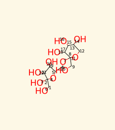 OCC1(O)OC(COC2(CO)OCC(O)C(O)C2O)[C@H](O)C1O